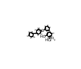 Cl.Oc1ccccc1.Oc1ccccc1.P.c1ccc(-c2ccccc2)cc1